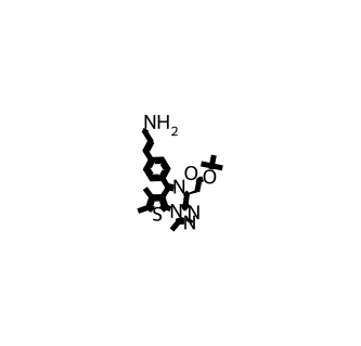 Cc1sc2c(c1C)C(c1ccc(/C=C/CN)cc1)=N[C@@H](CC(=O)OC(C)(C)C)c1nnc(C)n1-2